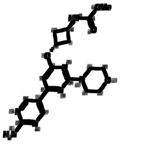 COC(=O)N[C@H]1C[C@H](Oc2cc(-c3cnc(N)nc3)nc(N3CCOCC3)n2)C1